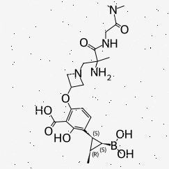 C[C@@H]1[C@H](B(O)O)[C@@H]1c1ccc(OC2CN(CC(C)(N)C(=O)NCC(=O)N(C)C)C2)c(C(=O)O)c1O